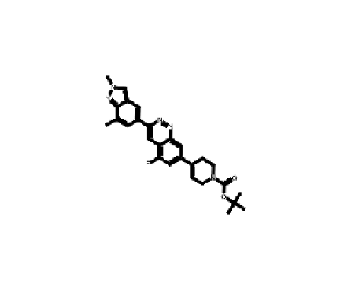 Cc1cc(-c2cc3c(F)cc(C4=CCN(C(=O)OC(C)(C)C)CC4)cc3nn2)cc2cn(C)nc12